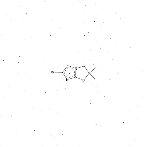 CC1(C)Cn2cc(Br)nc2O1